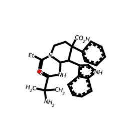 CCC(=O)N1CCC(C(=O)O)(c2ccccc2)C(c2c[nH]c3ccccc23)C1NC(=O)C(C)(C)N